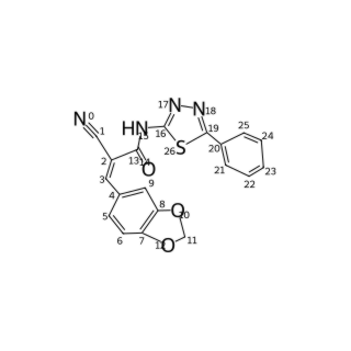 N#CC(=Cc1ccc2c(c1)OCO2)C(=O)Nc1nnc(-c2ccccc2)s1